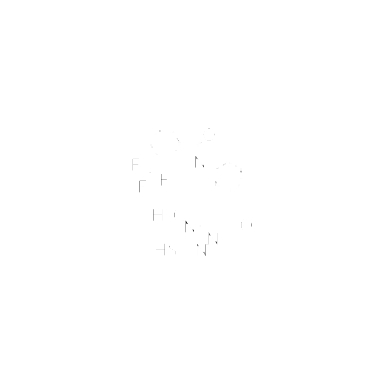 Cn1c(S)nnc1CC1(c2cccc(N3Cc4c(cccc4C(F)(F)F)C3=O)c2)COC1